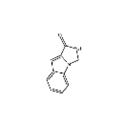 O=C1NCn2c1cc1ccccc12